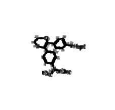 CCCCCCCCCCN(CCCCCCCCCC)c1ccc(C2=C(c3ccc(CCCCCCC)cc3)OCCS2)cc1